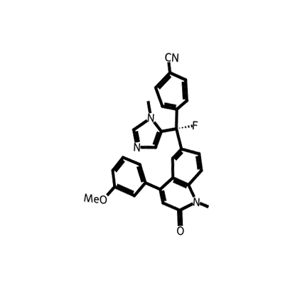 COc1cccc(-c2cc(=O)n(C)c3ccc([C@](F)(c4ccc(C#N)cc4)c4cncn4C)cc23)c1